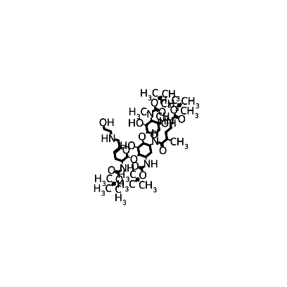 C[C@H](CCNC(=O)OC(C)(C)C)C(=O)N[C@@H]1C[C@H](NC(=O)OC(C)(C)C)[C@@H](O[C@H]2OC(CNCCO)=CC[C@H]2NC(=O)OC(C)(C)C)[C@H](O)[C@H]1O[C@H]1OC[C@](C)(O)[C@H](N(C)C(=O)OC(C)(C)C)[C@H]1O